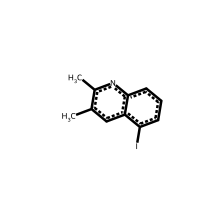 Cc1cc2c(I)cccc2nc1C